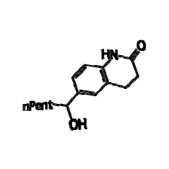 CCCCCC(O)c1ccc2c(c1)CCC(=O)N2